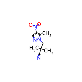 Cc1c([N+](=O)[O-])cnn1CC(C)(C)C#N